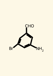 Nc1cc(Br)cc(C=O)c1